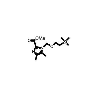 COC(=O)c1nc(C)c(C)n1COCC[Si](C)(C)C